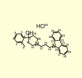 Cc1ccccc1C1(O)CCN(CCCn2c3ccccc3c3ccccc32)CC1.Cl